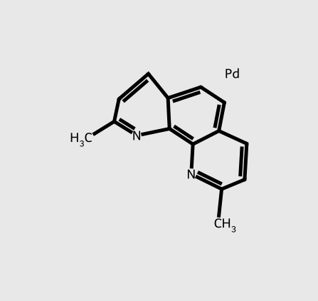 Cc1ccc2ccc3ccc(C)nc3c2n1.[Pd]